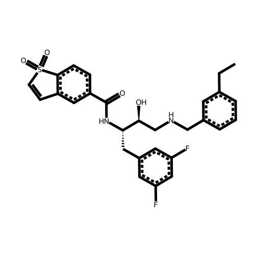 CCc1cccc(CNC[C@H](O)[C@H](Cc2cc(F)cc(F)c2)NC(=O)c2ccc3c(c2)C=CS3(=O)=O)c1